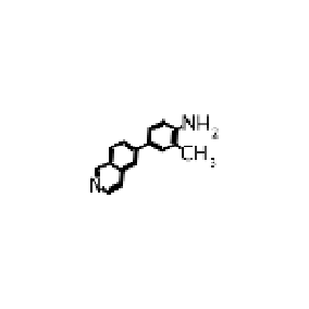 Cc1cc(-c2ccc3cnccc3c2)ccc1N